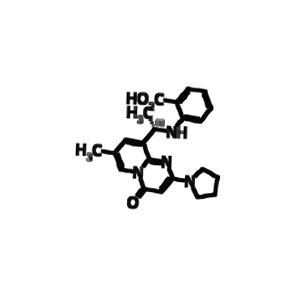 Cc1cc([C@H](C)Nc2ccccc2C(=O)O)c2nc(N3CCCC3)cc(=O)n2c1